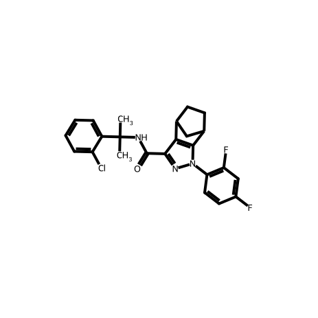 CC(C)(NC(=O)c1nn(-c2ccc(F)cc2F)c2c1C1CCC2C1)c1ccccc1Cl